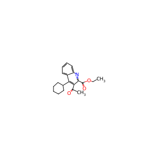 CCOC(=O)c1nc2ccccc2c(C2CCCCC2)c1C(C)=O